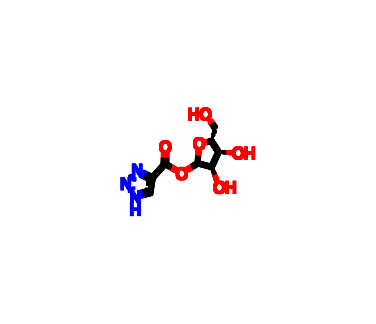 O=C(OC1O[C@H](CO)[C@@H](O)[C@H]1O)c1c[nH]nn1